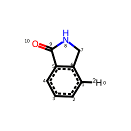 [2H]c1cccc2c1CNC2=O